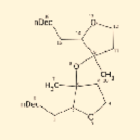 CCCCCCCCCCCC1OCCC1(C)OC1(C)CCOC1CCCCCCCCCCC